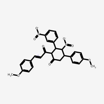 COc1ccc(/C=C/C(=O)C2C(=O)CC(c3ccc(OC)cc3)C([N+](=O)[O-])C2c2cccc([N+](=O)[O-])c2)cc1